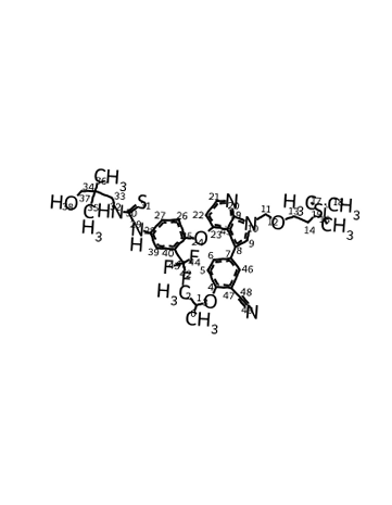 CC(C)Oc1ccc(-c2cn(COCC[Si](C)(C)C)c3nccc(Oc4ccc(NC(=S)NCC(C)(C)CO)cc4C(F)(F)F)c23)cc1C#N